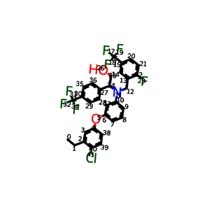 CCc1cc(Oc2cccc(N(Cc3cc(C(F)(F)F)ccc3F)C(CO)c3ccc(C(F)(F)F)cc3)c2)ccc1Cl